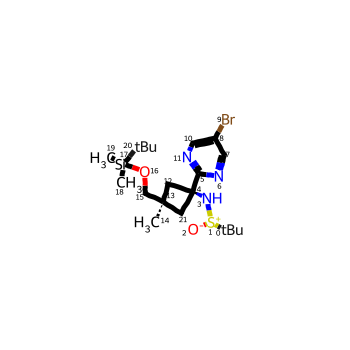 CC(C)(C)[S+]([O-])N[C@]1(c2ncc(Br)cn2)C[C@](C)(CO[Si](C)(C)C(C)(C)C)C1